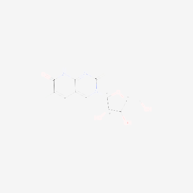 O=c1[nH]c2nc(=S)n([C@@H]3O[C@H](CO)C(O)[C@@H]3O)cc2cc1F